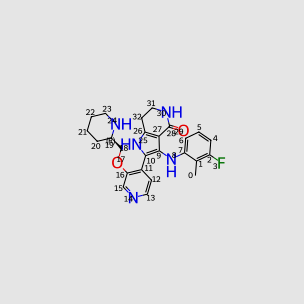 Cc1c(F)cccc1Nc1c(-c2ccncc2OC[C@H]2CCCCN2)[nH]c2c1C(=O)NCC2